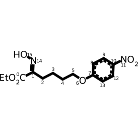 CCOC(=O)C(CCCCOc1ccc([N+](=O)[O-])cc1)=NO